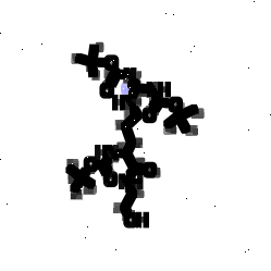 CC(C)(C)OC(=O)/N=C(\NCCCC(NC(=O)OC(C)(C)C)C(=O)NCCO)NC(=O)OC(C)(C)C